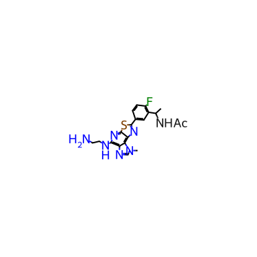 CC(=O)NC(C)c1cc(-c2nc3c(nc(NCCN)c4ncn(C)c43)s2)ccc1F